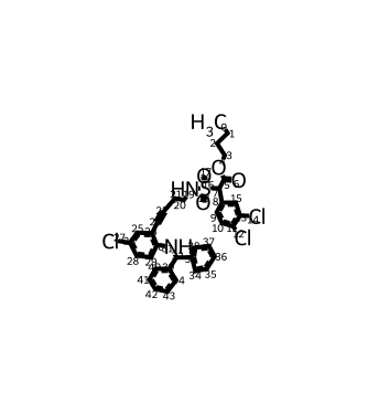 CCCCOC(=O)C(c1ccc(Cl)c(Cl)c1)S(=O)(=O)NCCC#Cc1cc(Cl)ccc1NC(c1ccccc1)c1ccccc1